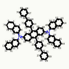 C1=Cc2ccc(N(c3ccc4ccccc4c3)c3ccc4c(-c5ccc(-c6ccccc6)cc5)c5cc(N(c6ccc7ccccc7c6)c6ccc7ccccc7c6)ccc5c(-c5ccc(-c6ccccc6)cc5)c4c3)cc2CC1